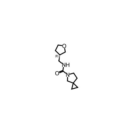 O=C(NC[C@H]1CCOC1)N1CCC2(CC2)C1